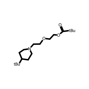 CC(C)(C)C(=O)OCCOCCN1CCC(C(C)(C)C)CC1